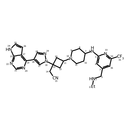 CCNCc1cc(NC2CCN(C3CC(CC#N)(n4cc(-c5ncnc6[nH]ccc56)cn4)C3)CC2)nc(C(F)(F)F)c1